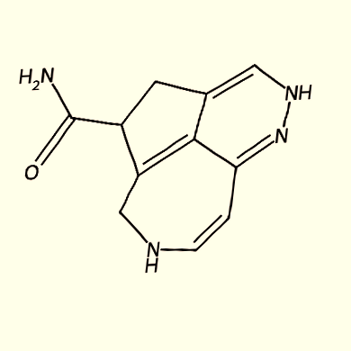 NC(=O)C1CC2=CNN=C3C=CNCC1=C23